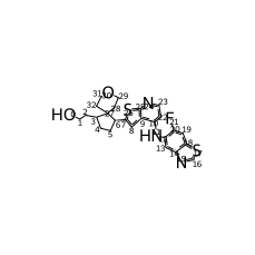 OCCC1CC[C@H](c2cc3c(Nc4cc5ncsc5cc4F)ccnc3s2)C12CCOCC2